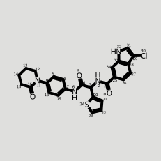 O=C(NC(C(=O)Nc1ccc(N2CCCCC2=O)cc1)c1cccs1)c1ccc2c(Cl)c[nH]c2c1